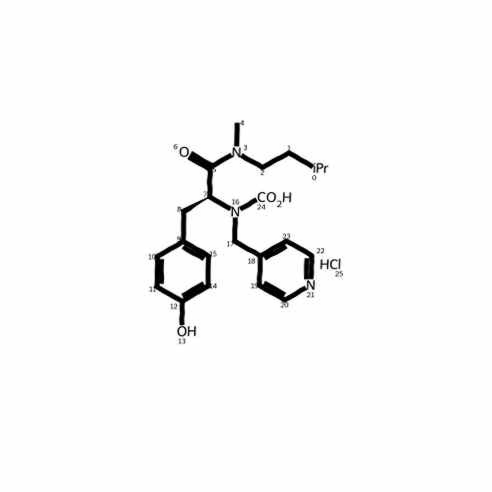 CC(C)CCN(C)C(=O)[C@H](Cc1ccc(O)cc1)N(Cc1ccncc1)C(=O)O.Cl